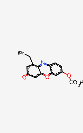 CC(C)Cc1cc(=O)cc2oc3cc(OC(=O)O)ccc3nc1-2